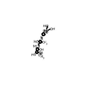 CC(=O)Nc1cc(S)cc2cc(S)c(/N=N/c3cc(C)c(/N=N/c4ccc(S(=O)(=O)N(CCO)CCO)cc4)cc3O)c(O)c12